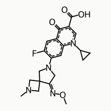 CON=C1CN(c2cc3c(cc2F)c(=O)c(C(=O)O)cn3C2CC2)CC12CN(C)C2